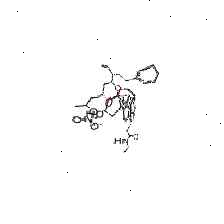 C=CC(CCc1ccccc1)C(CC(CC(C)O[N+](=O)[O-])[C@@H]1[C@@H](CC=CCCCC(=O)NCC)[C@@H](O)C[C@H]1O)OC(=O)O